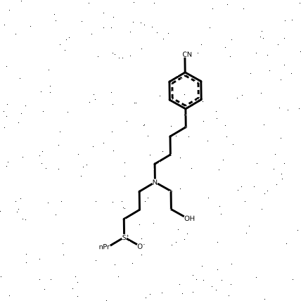 CCC[S+]([O-])CCCN(CCO)CCCCc1ccc(C#N)cc1